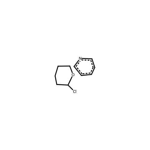 ClC1CCCCO1.c1ccncc1